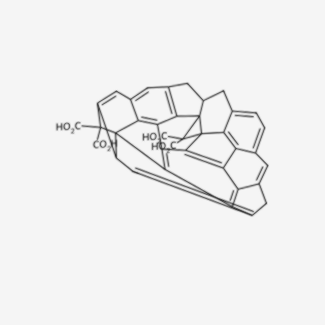 O=C(O)C1(C(=O)O)C2=Cc3cc4c5c6c3C13c1c-6c6c7c8c(cc9ccc%10c(c97)C67C(C(=O)O)(C(=O)O)C57C(C4)C%10)CC(=CC23)c18